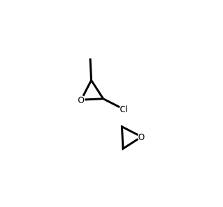 C1CO1.CC1OC1Cl